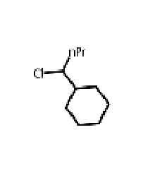 [CH2]CCC(Cl)C1CCCCC1